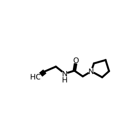 C#CCNC(=O)CN1CCCC1